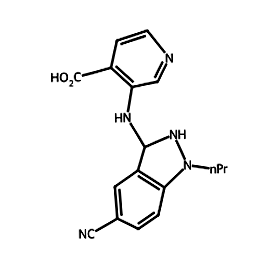 CCCN1NC(Nc2cnccc2C(=O)O)c2cc(C#N)ccc21